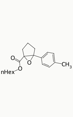 CCCCCCOC(=O)C12CCCC1(c1ccc(C)cc1)O2